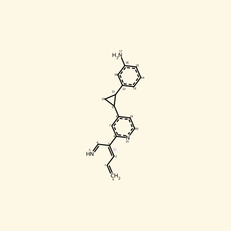 C=C/C=C(\C=N)c1cc(C2CC2c2cccc(N)c2)ccn1